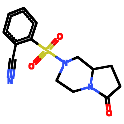 N#Cc1ccccc1S(=O)(=O)N1CCN2C(=O)CCC2C1